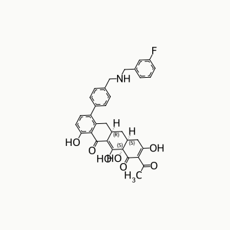 CC(=O)C1=C(O)C[C@@H]2C[C@@H]3Cc4c(-c5ccc(CNCc6cccc(F)c6)cc5)ccc(O)c4C(=O)C3=C(O)[C@]2(O)C1=O